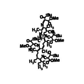 COC(=O)C(=C=NC(=C(C)C)/C(C)=C\C/C(C)=C(N=C=C(C(=O)OC)C(=O)C(C)(C)C)\C(C)=C/C/C(C)=C(N=C=C(C(=O)OC)C(=O)C(C)(C)C)\C(C)=C/C/C(C)=C(/N=C=C(C(=O)OC)C(=O)C(C)(C)C)C(C)=C(C)C)C(=O)C(C)(C)C